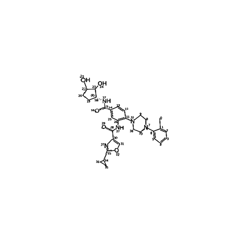 Cc1ccccc1N1CCN(c2ccc(C(=O)N[C@@H]3CCC(O)C3O)cc2NC(=O)c2coc(C3CC3)n2)CC1